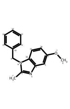 COc1[c]c2nc(C)n(Cc3ccccc3)c2cc1